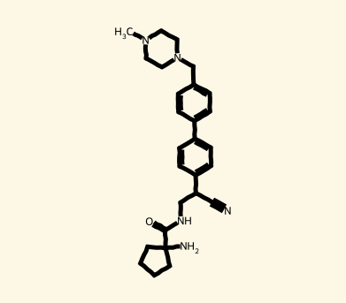 CN1CCN(Cc2ccc(-c3ccc(C(C#N)CNC(=O)C4(N)CCCC4)cc3)cc2)CC1